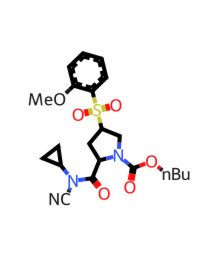 CCCCOC(=O)N1CC(S(=O)(=O)c2ccccc2OC)CC1C(=O)N(C#N)C1CC1